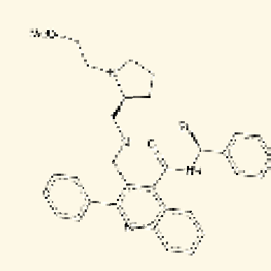 CC[C@H](NC(=O)c1c(COC[C@@H]2CCCN2CCOC)c(-c2ccccc2)nc2ccccc12)c1ccccc1